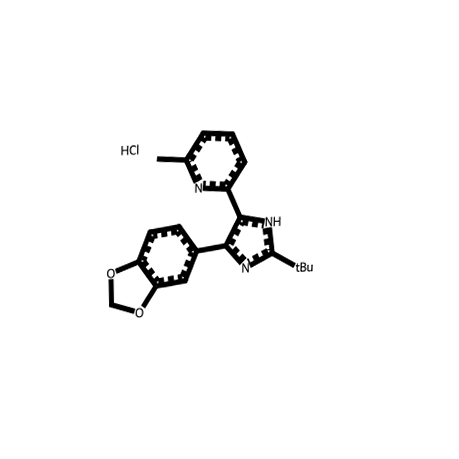 Cc1cccc(-c2[nH]c(C(C)(C)C)nc2-c2ccc3c(c2)OCO3)n1.Cl